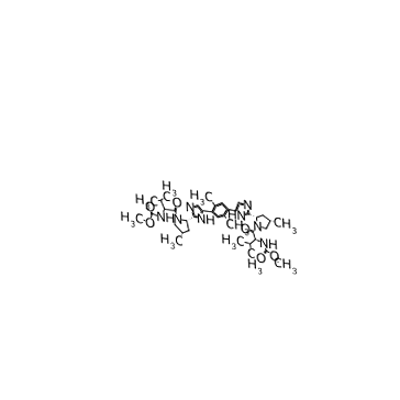 COC(=O)N[C@H](C(=O)N1C[C@@H](C)C[C@H]1c1ncc(-c2cc(C)c(-c3cnc([C@@H]4C[C@H](C)CN4C(=O)[C@@H](NC(=O)OC)C(C)C)[nH]3)cc2C)[nH]1)C(C)C